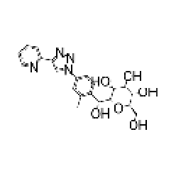 Cc1cc(-n2cc(-c3ccccn3)nn2)ccc1[C@@H](O)[C@H]1O[C@H](CO)[C@@H](O)[C@H](O)[C@@H]1O